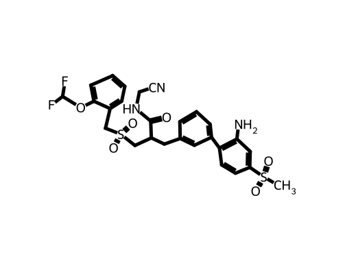 CS(=O)(=O)c1ccc(-c2cccc(CC(CS(=O)(=O)Cc3ccccc3OC(F)F)C(=O)NCC#N)c2)c(N)c1